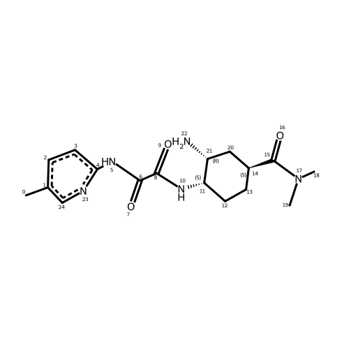 Cc1ccc(NC(=O)C(=O)N[C@H]2CC[C@H](C(=O)N(C)C)C[C@H]2N)nc1